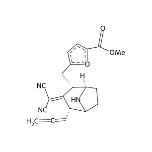 C=C=C[C@@H]1C(=C(C#N)C#N)[C@H](Cc2ccc(C(=O)OC)o2)[C@H]2CCC1N2